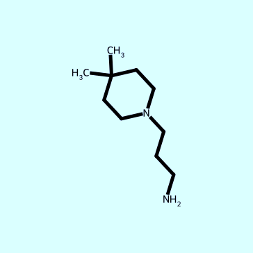 CC1(C)CCN(CCCN)CC1